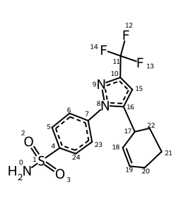 NS(=O)(=O)c1ccc(-n2nc(C(F)(F)F)cc2C2C=CCCC2)cc1